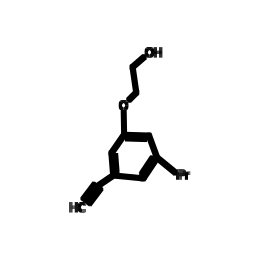 C#Cc1cc(OCCO)cc(C(C)C)c1